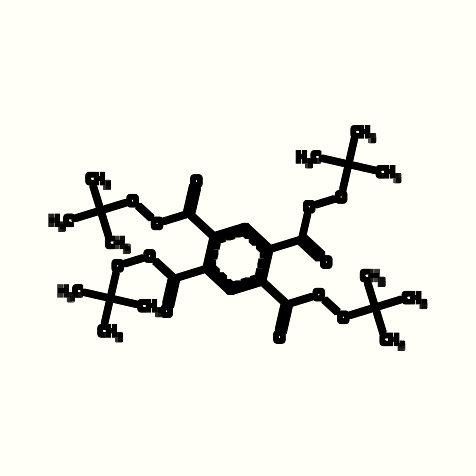 CC(C)(C)OOC(=O)c1cc(C(=O)OOC(C)(C)C)c(C(=O)OOC(C)(C)C)cc1C(=O)OOC(C)(C)C